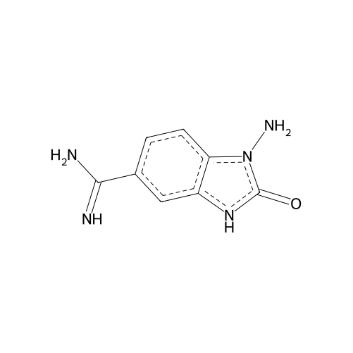 N=C(N)c1ccc2c(c1)[nH]c(=O)n2N